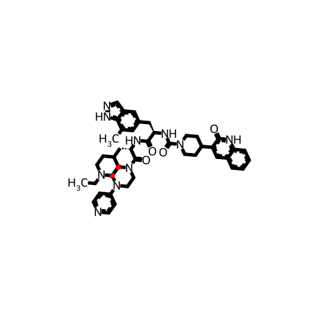 CCN1CCC(C[C@H](NC(=O)[C@@H](Cc2cc(C)c3[nH]ncc3c2)NC(=O)N2CCC(c3cc4ccccc4[nH]c3=O)CC2)C(=O)N2CCN(c3ccncc3)CC2)CC1